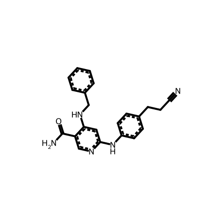 N#CCCc1ccc(Nc2cc(NCc3ccccc3)c(C(N)=O)cn2)cc1